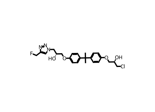 CC(C)(c1ccc(OC[C@@H](O)CCl)cc1)c1ccc(OC[C@H](O)Cn2cc(CF)nn2)cc1